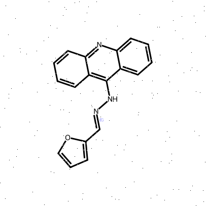 C(=N\Nc1c2ccccc2nc2ccccc12)/c1ccco1